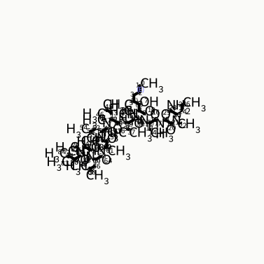 C/C=C/C[C@H](C)[C@H](O)C(C(=O)N[C@H](CC)C(=O)NCC(=O)N(C)[C@H](CCC)C(N)=O)N(C)C(=O)[C@H](C(C)C)N(C)C(=O)[C@@H](CC(C)C)N(C)C(=O)[C@@H](CC(C)C)N(C)C(=O)[C@H](C)NC(=O)[C@H](CC(C)C)NC(=O)[C@H](C)N(C)C(=O)[C@H](C)C(C)(C)C